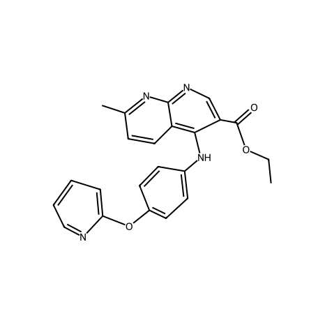 CCOC(=O)c1cnc2nc(C)ccc2c1Nc1ccc(Oc2ccccn2)cc1